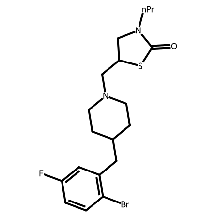 CCCN1CC(CN2CCC(Cc3cc(F)ccc3Br)CC2)SC1=O